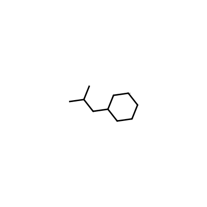 CC(C)CC1C[CH]CCC1